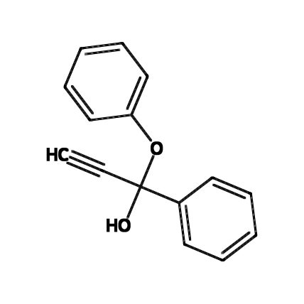 C#CC(O)(Oc1ccccc1)c1ccccc1